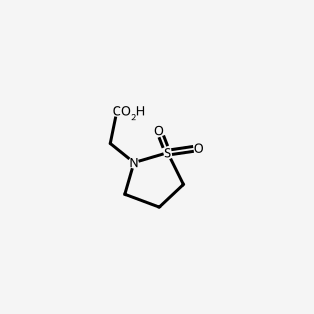 O=C(O)CN1CCCS1(=O)=O